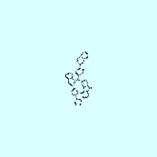 c1ccc(-c2ccccc2-c2cccc3oc4ccc(N(c5ccc(-c6ccc7ccccc7c6)cc5)c5cccc6ccccc56)cc4c23)cc1